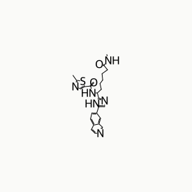 CNC(=O)CCCCCC(NC(=O)c1cnc(C)s1)c1ncc(-c2ccc3ccncc3c2)[nH]1